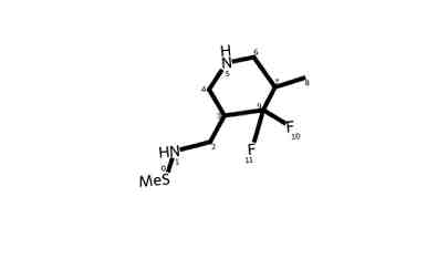 CSNCC1CNCC(C)C1(F)F